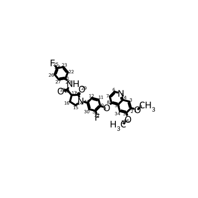 COc1cc2nccc(Oc3ccc(N4CCC(C(=O)Nc5ccc(F)cc5)C4=O)cc3F)c2cc1OC